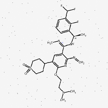 C=Nc1nc(OCCN(C)C)c(C2CCS(=O)(=O)CC2)cc1/C(=N\C)N[C@H](C)c1cccc(C(F)F)c1F